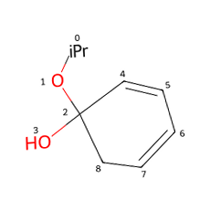 CC(C)OC1(O)C=CC=CC1